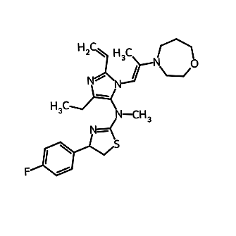 C=Cc1nc(CC)c(N(C)C2=NC(c3ccc(F)cc3)CS2)n1/C=C(\C)N1CCCOCC1